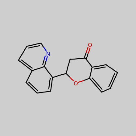 O=C1CC(c2cccc3cccnc23)Oc2ccccc21